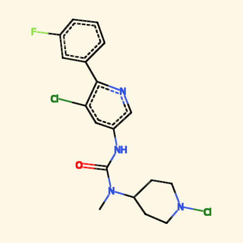 CN(C(=O)Nc1cnc(-c2cccc(F)c2)c(Cl)c1)C1CCN(Cl)CC1